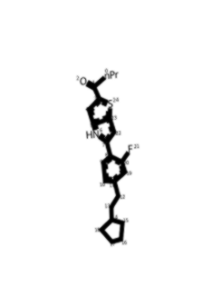 CCCC(=O)c1cc2[nH]c(-c3ccc(CCC4CCCC4)cc3F)cc2s1